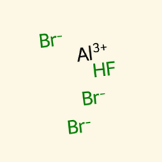 F.[Al+3].[Br-].[Br-].[Br-]